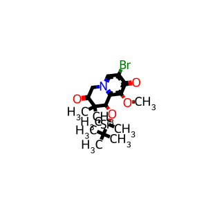 COc1c2n(cc(Br)c1=O)CC(=O)C(C)(C)C2O[Si](C)(C)C(C)(C)C